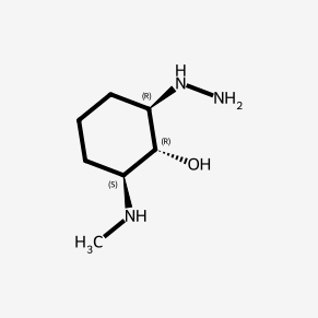 CN[C@H]1CCC[C@@H](NN)[C@@H]1O